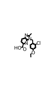 CCOc1ccc(Cn2c(C)nc3ccc(C(=O)O)nc32)c(Cl)c1